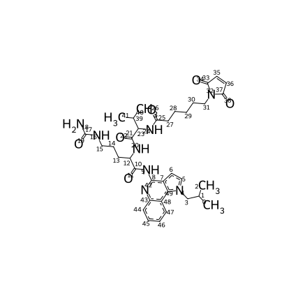 CC(C)Cn1ccc2c(NC(=O)C(CCCNC(N)=O)NC(=O)C(NC(=O)CCCCCN3C(=O)C=CC3=O)C(C)C)nc3ccccc3c21